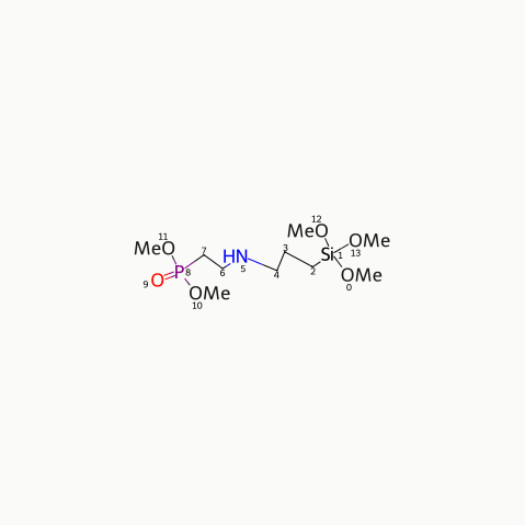 CO[Si](CCCNCCP(=O)(OC)OC)(OC)OC